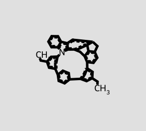 CCc1cc2cc(c1)-c1ccc3c4c1Cc1c-4c(cc4c5ccccc5n(c14)-c1cc(CC)cc(c1)-c1ccc-2cc1)C3